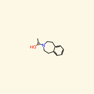 CB(O)N1CCc2ccccc2CC1